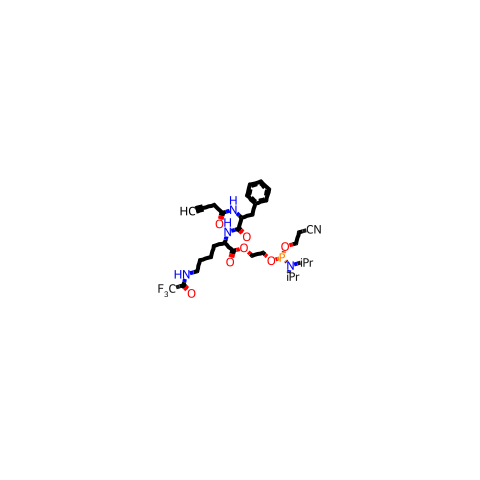 C#CCC(=O)NC(Cc1ccccc1)C(=O)NC(CCCCNC(=O)C(F)(F)F)C(=O)OCCOP(OCCC#N)N(C(C)C)C(C)C